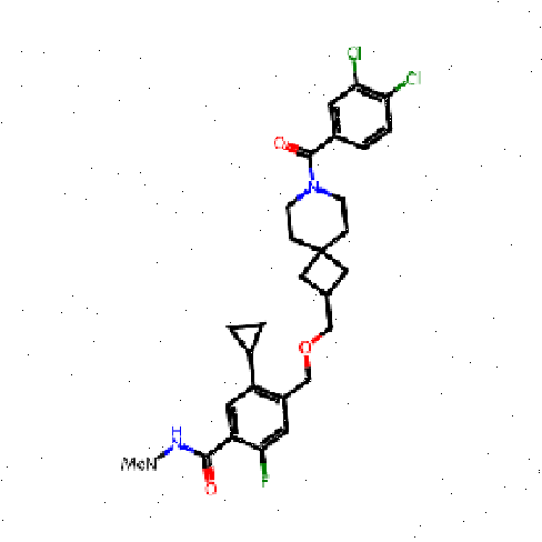 CNNC(=O)c1cc(C2CC2)c(COCC2CC3(CCN(C(=O)c4ccc(Cl)c(Cl)c4)CC3)C2)cc1F